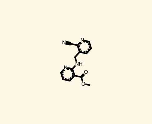 COC(=O)c1cccnc1NCc1cccnc1C#N